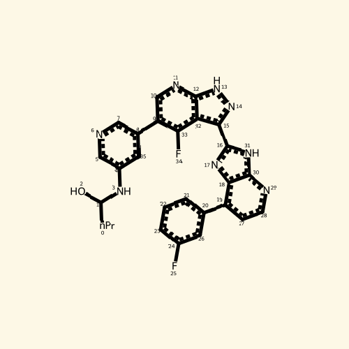 CCCC(O)Nc1cncc(-c2cnc3[nH]nc(-c4nc5c(-c6cccc(F)c6)ccnc5[nH]4)c3c2F)c1